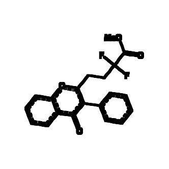 COC(=O)C(F)(F)CCc1oc2ccccc2c(=O)c1-c1ccccc1